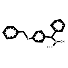 O=CN(O)C(c1ccccc1)c1ccc(OCc2ccccc2)cc1